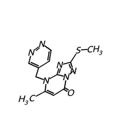 CSc1nc2n(Cc3ccnnc3)c(C)cc(=O)n2n1